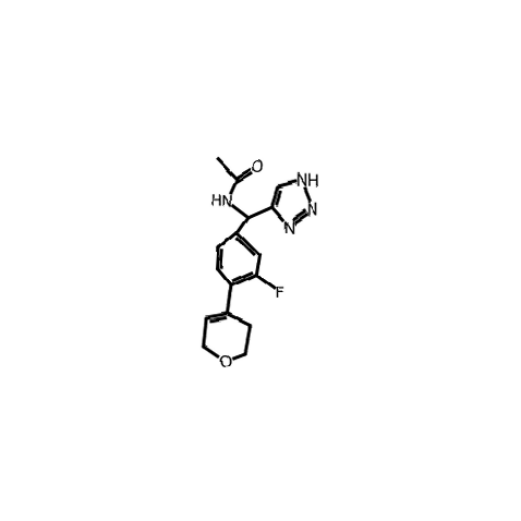 CC(=O)NC(c1ccc(C2=CCOCC2)c(F)c1)c1c[nH]nn1